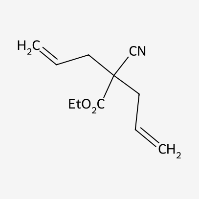 C=CCC(C#N)(CC=C)C(=O)OCC